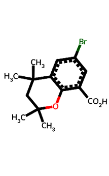 CC1(C)CC(C)(C)c2cc(Br)cc(C(=O)O)c2O1